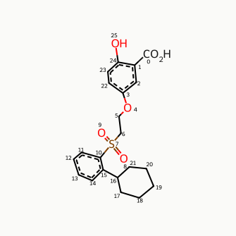 O=C(O)c1cc(OCCS(=O)(=O)c2ccccc2C2CCCCC2)ccc1O